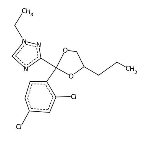 CCCC1COC(c2ncn(CC)n2)(c2ccc(Cl)cc2Cl)O1